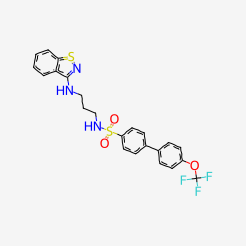 O=S(=O)(NCCCNc1nsc2ccccc12)c1ccc(-c2ccc(OC(F)(F)F)cc2)cc1